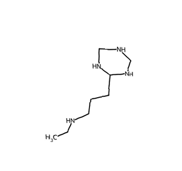 CCNCCCC1NCNCN1